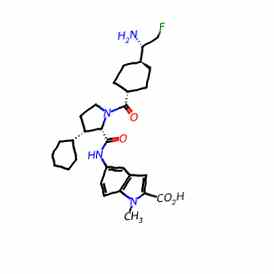 Cn1c(C(=O)O)cc2cc(NC(=O)[C@@H]3[C@H](C4CCCCC4)CCN3C(=O)[C@H]3CC[C@H]([C@H](N)CF)CC3)ccc21